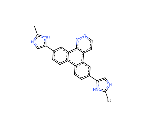 CCc1ncc(-c2ccc3c(c2)c2ccnnc2c2cc(-c4cnc(C)[nH]4)ccc32)[nH]1